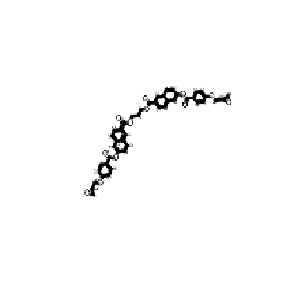 O=C(OCCCOC(=O)c1ccc2cc(OC(=O)c3ccc(OCC4CO4)cc3)ccc2c1)c1ccc2cc(OC(=O)c3ccc(OCC4CO4)cc3)ccc2c1